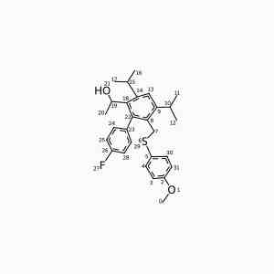 COc1ccc(SCc2c(C(C)C)cc(C(C)C)c(C(C)O)c2-c2ccc(F)cc2)cc1